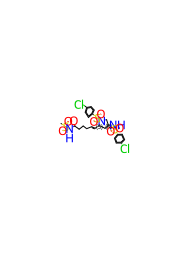 CS(=O)(=O)NC(=O)CCCC=C[C@@H]1C[C@@H](NS(=O)(=O)c2ccc(Cl)cc2)CN1S(=O)(=O)c1ccc(Cl)cc1